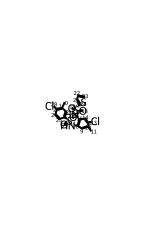 Cc1cc(S(=O)(=O)Nc2cc(C)c(Cl)cc2NS(=O)(=O)c2cccs2)ccc1Cl